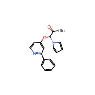 CC(C)(C)C(=O)C(Oc1ccnc(-c2ccccc2)c1)n1cccc1